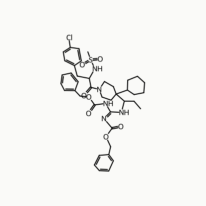 CCC(N/C(=N\C(=O)OCc1ccccc1)NC(=O)OCc1ccccc1)C1(C2CCCCC2)CCN(C(=O)C(Cc2ccc(Cl)cc2)NS(C)(=O)=O)CC1